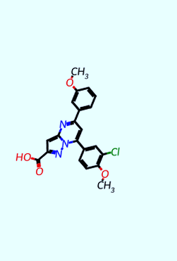 COc1cccc(-c2cc(-c3ccc(OC)c(Cl)c3)n3nc(C(=O)O)cc3n2)c1